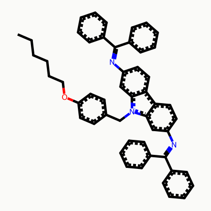 CCCCCCOc1ccc(Cn2c3cc(N=C(c4ccccc4)c4ccccc4)ccc3c3ccc(N=C(c4ccccc4)c4ccccc4)cc32)cc1